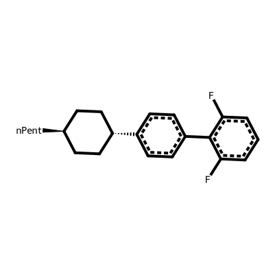 CCCCC[C@H]1CC[C@H](c2ccc(-c3c(F)cccc3F)cc2)CC1